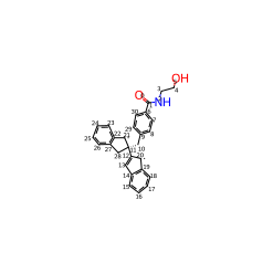 O=C(NCCO)c1ccc(C[C@@]2(C3=Cc4ccccc4[CH]3)[CH]c3ccccc3C2)cc1